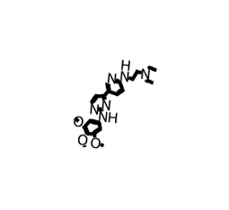 CCN(CC)CCNc1ccc(-c2ccnc(Nc3cc(OC)c(OC)c(OC)c3)n2)cn1